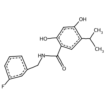 CC(C)c1cc(C(=O)NCc2cccc(F)c2)c(O)cc1O